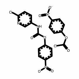 O=C(Cl)Oc1ccc([N+](=O)[O-])cc1.O=C(Nc1ccc(Cl)nc1)Oc1ccc([N+](=O)[O-])cc1